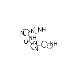 O=C(Nc1cnccc1N1CCNCC1)c1ccnc(-c2ccc3[nH]ccc3c2)n1